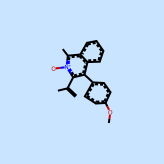 C=C(C)c1c(-c2ccc(OC)cc2)c2ccccc2c(C)[n+]1[O-]